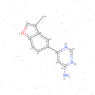 Cc1coc2ccc(-c3cc(N)ncn3)cc12